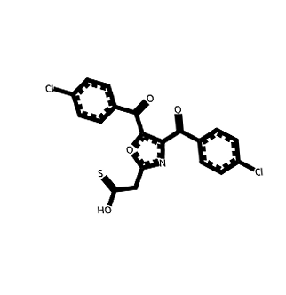 O=C(c1ccc(Cl)cc1)c1nc(CC(O)=S)oc1C(=O)c1ccc(Cl)cc1